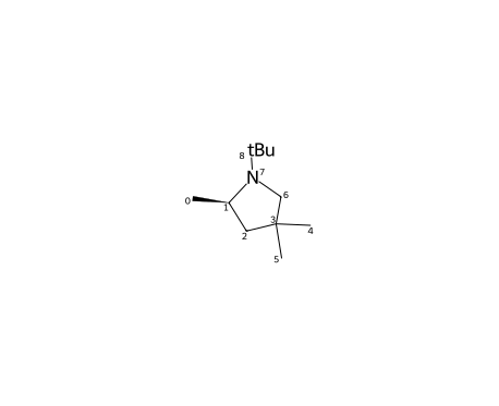 C[C@@H]1CC(C)(C)CN1C(C)(C)C